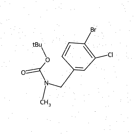 CN(Cc1ccc(Br)c(Cl)c1)C(=O)OC(C)(C)C